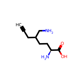 C#CCC(CN)CC[C@H](N)C(=O)O